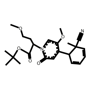 COCCC(C(=O)OC(C)(C)C)n1cc(OC)c(C2C=CC=CC2(C)C#N)cc1=O